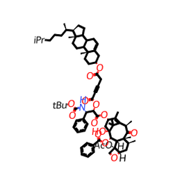 CC(=O)O[C@@]12CO[C@@H]1C[C@H](C)[C@@]1(C)C(=O)[C@H](C)C3=C(C)[C@@H](OC(=O)[C@H](OC(=O)C#CCC(=O)O[C@H]4CC[C@@]5(C)C(=CCC6C5CC[C@@]5(C)C6CC[C@@H]5[C@H](C)CCCC(C)C)C4)[C@@H](NC(=O)OC(C)(C)C)c4ccccc4)C[C@@](O)([C@@H](OC(=O)c4ccccc4)[C@H]21)C3(C)C